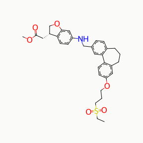 CCS(=O)(=O)CCCOc1ccc2c(c1)CCCc1ccc(CNc3ccc4c(c3)OC[C@H]4CC(=O)OC)cc1-2